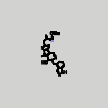 C=C(/C=N\OC)Cc1nc2c(s1)c1c(n2C)C(O)N(Cc2cccc3[nH]ncc23)N=C1